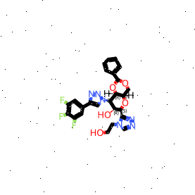 OCCn1cnnc1[C@@H]1O[C@@H]2COC(c3ccccc3)O[C@@H]2[C@H](n2cc(-c3cc(F)c(F)c(F)c3)nn2)[C@H]1O